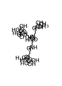 CC(=O)NC1C(OCCCCCC(=O)NCCCC[C@H](NC(=O)CCCCCOC2OC(CO)C(O)C(O)C2NC(C)=O)C(=O)NCCCCCC(=O)NCC(C)C(C)O)OC(CO)C(O)C1O